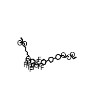 C=CC(=O)OCCCCCCOc1ccc(OC(F)(F)c2c(F)cc(C3CCC(C4CCC(OCCOC(=O)C=C)CC4)CC3)cc2F)c(C(F)(F)F)c1C(F)(F)F